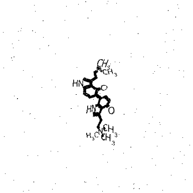 CN(C)CCc1c[nH]c2c1C(=O)C(=C1C=CC(=O)c3c(CC[N+](C)(C)C)c[nH]c31)C=C2